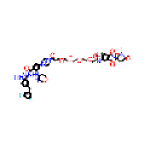 CCOC(COCCOCCOCCOCCC(=O)N1CCN(c2ccc(C(=O)Nc3n[nH]c4ccc(Cc5cc(F)cc(F)c5)cc34)c(NC3CCOCC3)c2)CC1)Nc1ccc2c(c1)C(=O)N(C1CCC(=O)NC1=O)C2=O